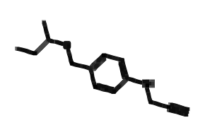 C#CCNc1ccc(COC(C)CC)cc1